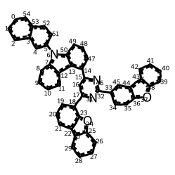 c1ccc2cc(-n3c4ccccc4c4c(-c5cc(-c6cccc7c6oc6ccccc67)nc(-c6ccc7oc8ccccc8c7c6)n5)cccc43)ccc2c1